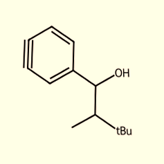 CC(C(O)c1cc#ccc1)C(C)(C)C